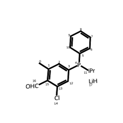 Cc1cc(P(c2ccccc2)C(C)C)cc(Cl)c1C=O.[LiH]